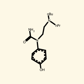 CCCCN(CCC)CCN(C(N)=O)c1ccc(O)cc1